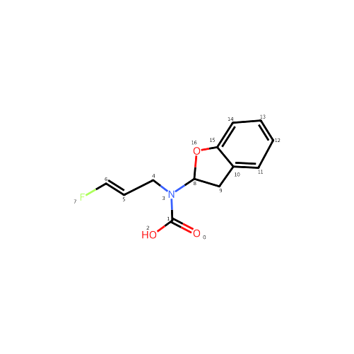 O=C(O)N(CC=CF)C1Cc2ccccc2O1